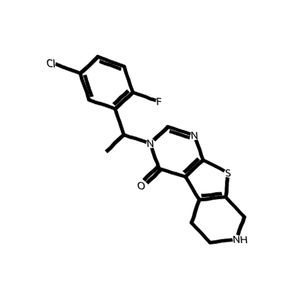 CC(c1cc(Cl)ccc1F)n1cnc2sc3c(c2c1=O)CCNC3